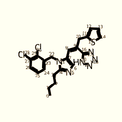 CCCCc1ncc(/C=C(/Cc2cccs2)c2nnn[nH]2)n1Cc1cccc(Cl)c1Cl